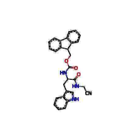 N#CCNC(=O)C(Cc1c[nH]c2ccccc12)NC(=O)OCC1c2ccccc2-c2ccccc21